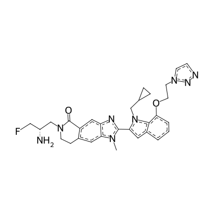 Cn1c(-c2cc3cccc(OCCn4ccnn4)c3n2CC2CC2)nc2cc3c(cc21)CCN(C[C@H](N)CF)C3=O